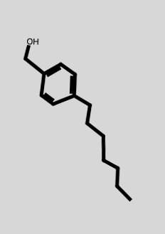 CCCCCCCc1ccc(CO)cc1